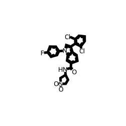 O=C(NC1CCS(=O)(=O)C1)c1ccc2c(-c3c(Cl)cccc3Cl)cn(-c3ccc(F)cc3)c2c1